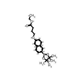 CCOC(=O)CCCOc1ccc2cc(B3OC(C)(C)C(C)(C)O3)ccc2c1